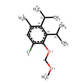 COCOc1c(Cl)cc([SiH3])c(C(C)C)c1C(C)C